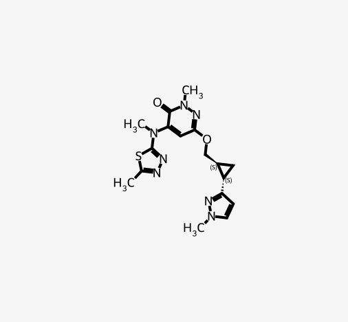 Cc1nnc(N(C)c2cc(OC[C@H]3C[C@@H]3c3ccn(C)n3)nn(C)c2=O)s1